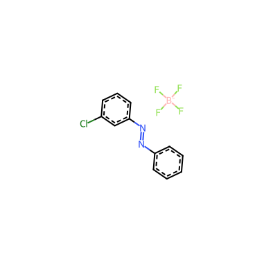 Clc1cccc(/N=N/c2ccccc2)c1.F[B-](F)(F)F